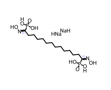 O=P(O)(O)/C(CCCCCCCCCCCC/C(=N/O)P(=O)(O)O)=N\O.[NaH].[NaH]